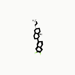 CCC[C@@H]1CC[C@@H]2CC(c3ccc4cc(F)c(F)cc4c3)CCC2C1